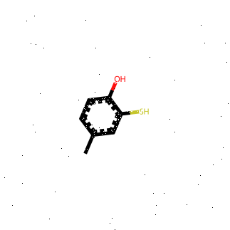 Cc1ccc(O)c(S)c1